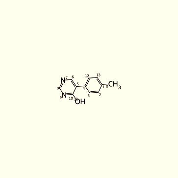 Cc1ccc(-c2cncnc2O)cc1